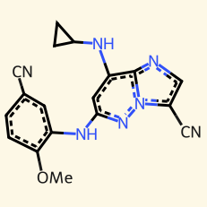 COc1ccc(C#N)cc1Nc1cc(NC2CC2)c2ncc(C#N)n2n1